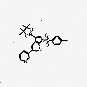 Cc1ccc(S(=O)(=O)n2cc(N3OC(C)(C)C(C)(C)O3)c3cc(-c4cccnc4)cnc32)cc1